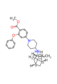 COC(=O)c1ccc(N2CCC(N[C@H]3C[C@H]4C[C@@H]([C@@H]3C)C4(C)C)CC2)cc1Oc1ccccc1